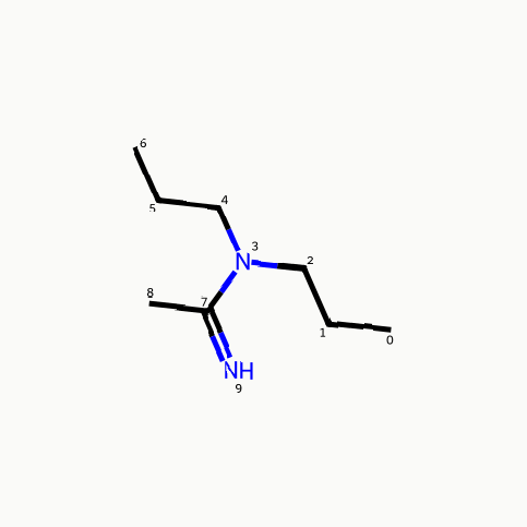 CCCN(CCC)C(C)=N